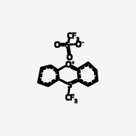 FC(F)(F)S1=c2ccccc2=[O+]c2ccccc21.O=S(=O)([O-])C(F)(F)F